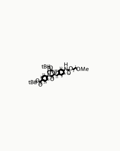 COCCOC(=O)Nc1ccc(C[C@H](NC(=O)OC(C)(C)C)C(=O)Nc2ccc(C(=O)OC(C)(C)C)cc2)cc1